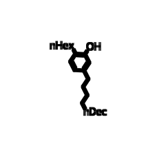 CCCCCCCCCCCCCCc1ccc(CCCCCC)c(O)c1